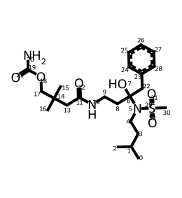 CC(C)CCN(C(O)(CCNC(=O)CC(C)(C)COC(N)=O)Cc1ccccc1)S(C)(=O)=O